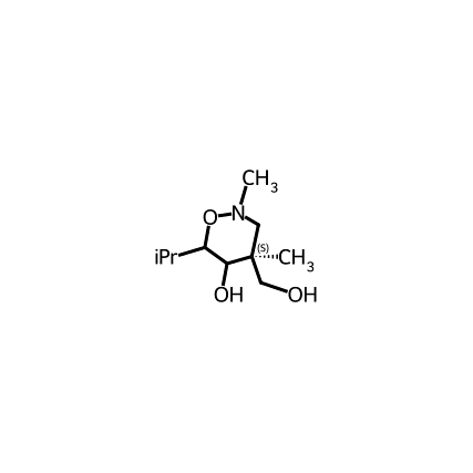 CC(C)C1ON(C)C[C@@](C)(CO)C1O